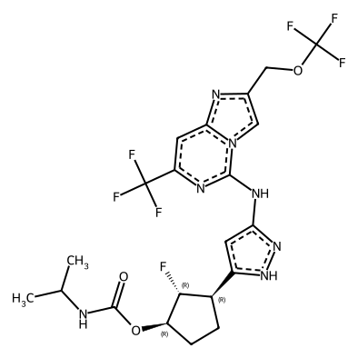 CC(C)NC(=O)O[C@@H]1CC[C@H](c2cc(Nc3nc(C(F)(F)F)cc4nc(COC(F)(F)F)cn34)n[nH]2)[C@H]1F